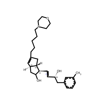 Cc1cccc(C[C@@H](O)/C=C/[C@H]2C(O)C[C@H]3C=C(CCCCCN4CCOCC4)C[C@@H]32)c1